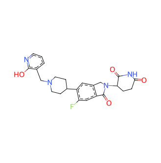 O=C1CCC(N2Cc3cc(C4CCN(Cc5cccnc5O)CC4)c(F)cc3C2=O)C(=O)N1